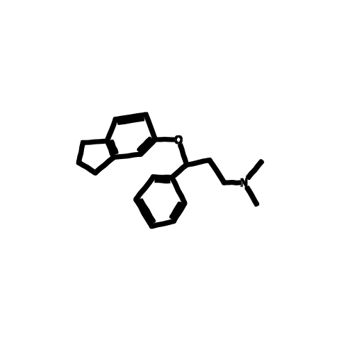 CN(C)CCC(Oc1ccc2c(c1)CCC2)c1ccccc1